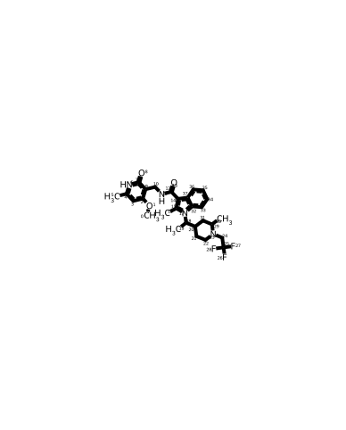 COc1cc(C)[nH]c(=O)c1CNC(=O)c1c(C)n(C(C)C2CCN(CC(F)(F)F)C(C)C2)c2ccccc12